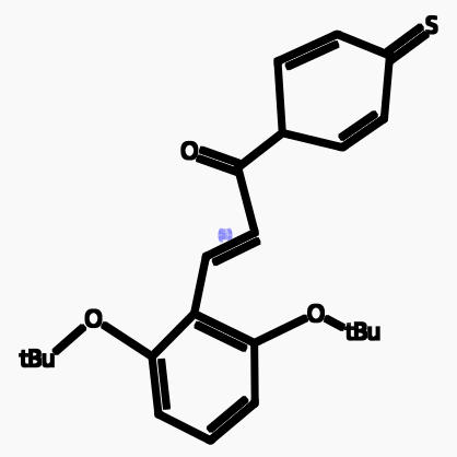 CC(C)(C)Oc1cccc(OC(C)(C)C)c1/C=C/C(=O)C1C=CC(=S)C=C1